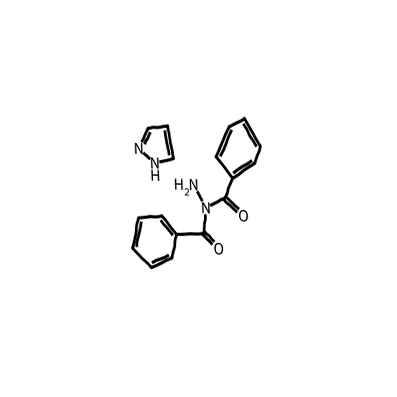 NN(C(=O)c1ccccc1)C(=O)c1ccccc1.c1cn[nH]c1